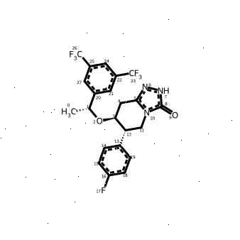 C[C@@H](O[C@H]1Cc2n[nH]c(=O)n2C[C@@H]1c1ccc(F)cc1)c1cc(C(F)(F)F)cc(C(F)(F)F)c1